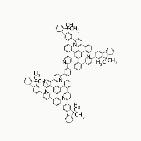 CC1(C)c2ccccc2-c2ccc(-c3ccc(-c4ccccc4-c4cc(-c5ccccc5-c5ccc(-c6cccc(-c7ccc(-c8ccccc8-c8cc(-c9ccccc9-c9ccc(-c%10ccc%11c(c%10)C(C)(C)c%10ccccc%10-%11)nc9)cc(-c9ccccc9-c9ccc(-c%10ccc%11c(c%10)C(C)(C)c%10ccccc%10-%11)nc9)c8)cn7)c6)nc5)cc(-c5ccccc5-c5ccc(-c6ccc7c(c6)C(C)(C)c6ccccc6-7)nc5)c4)cn3)cc21